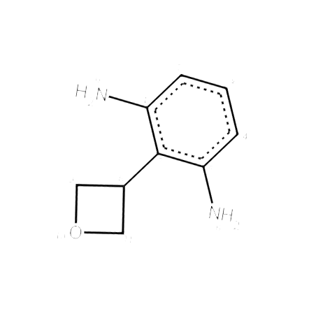 Nc1cccc(N)c1C1COC1